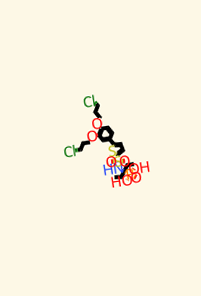 CCC(CC)(NS(=O)(=O)c1ccc(-c2ccc(OCCCCl)c(OCCCCl)c2)s1)P(=O)(O)O